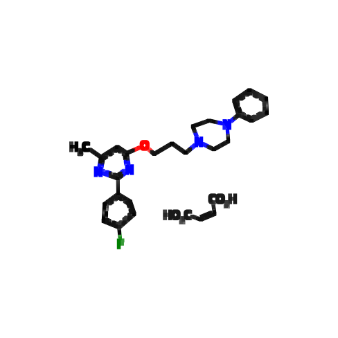 Cc1cc(OCCCN2CCN(c3ccccc3)CC2)nc(-c2ccc(F)cc2)n1.O=C(O)/C=C\C(=O)O